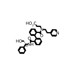 O=C(O)CCN(CCc1ccncc1)C(=O)c1ccccc1-c1ccccc1C(=O)N[C@@H](CO)c1ccccc1